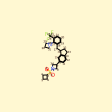 O=S(=O)(C1CCC1)N1CC(c2ccc3c(c2)C(Cc2cccc(C(F)(F)F)c2N2CCC2)CC3)C1